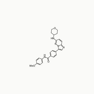 COc1ccc(NC(=O)c2ccc(-c3cnc4ccc(NC5CCOCC5)nn34)cc2)cc1